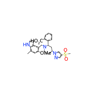 COc1cc(C)c2[nH]ccc2c1CN1CCC(n2cc(S(C)(=O)=O)cn2)CC1c1ccccc1C(=O)O